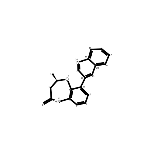 C=C1C[C@@H](C)Oc2c(cccc2-c2cnc3ccccc3c2)N1